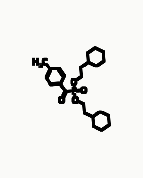 Cc1ccc(C(=O)P(=O)(OCCC2CCCCC2)OCCC2CCCCC2)cc1